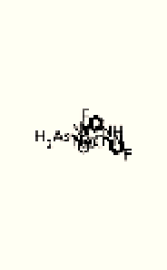 CN1C([AsH2])=N[C@](C)(c2cc(NC(=O)c3ccc(F)cn3)ccc2F)CS1(=O)=O